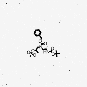 CC(CN(C[C@H](C)NC(=O)OC(C)(C)C)C(=O)OCc1ccccc1)OS(C)(=O)=O